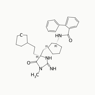 CN1C(=N)N[C@](CCC2CCCCC2)(C[C@H]2CCC[C@@H](NC(=O)c3ccccc3-c3ccccc3)C2)C1=O